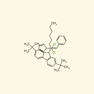 CCCCC[CH2][Hf]([Cl])([Cl])(=[CH]c1ccccc1)([CH]1C=CC=C1)[CH]1c2cc(C(C)(C)C)ccc2-c2ccc(C(C)(C)C)cc21